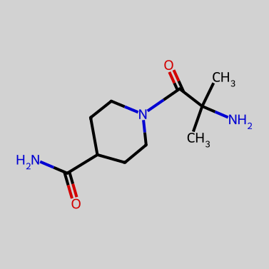 CC(C)(N)C(=O)N1CCC(C(N)=O)CC1